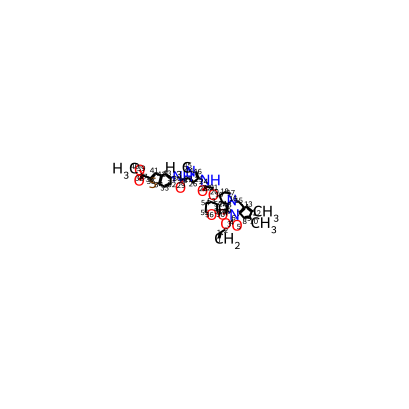 C=CCOC(=O)N1c2cc(C)c(C)cc2CN2CC[C@@H](OCC(=O)Nc3cc(C(=O)Nc4ccc5sc(C(=O)OC)cc5c4)n(C)c3)C[C@H]2C1OC1CCCCO1